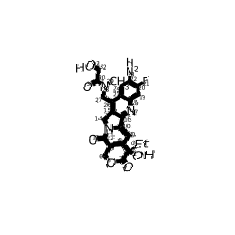 CC[C@@]1(O)C(=O)OCc2c1cc1n(c2=O)Cc2c-1nc1cc(F)c(N)cc1c2CN(C)C(=O)CO